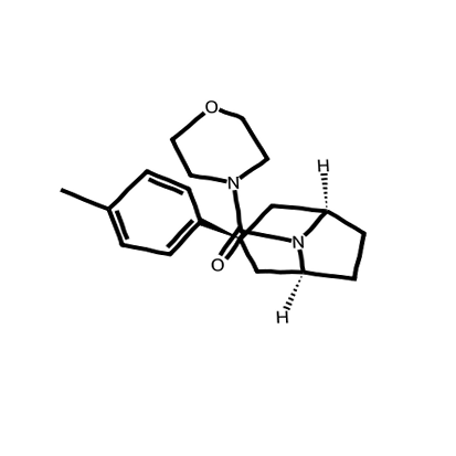 Cc1ccc([C@H]2C[C@H]3CC[C@@H](C2)N3C(=O)N2CCOCC2)cc1